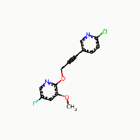 COc1cc(F)cnc1OCC#Cc1ccc(Cl)nc1